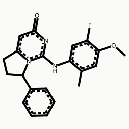 COc1cc(C)c(Nc2nc(=O)cc3n2C(c2ccccc2)CC3)cc1F